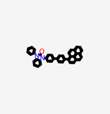 O=c1n(-c2ccccc2)c2ccccc2n1-c1ccc(-c2ccc(-c3ccc4ccc5cccc6ccc3c4c56)cc2)cc1